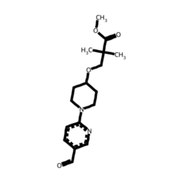 COC(=O)C(C)(C)COC1CCN(c2ccc(C=O)cn2)CC1